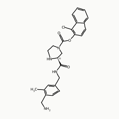 Cc1cc(CNC(=O)[C@@H]2CN(C(=O)Oc3ccc4ccccc4c3Cl)CCN2)ccc1CN